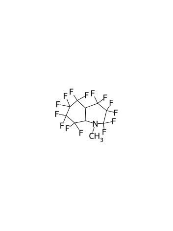 CN1C2C(C(F)(F)C(F)(F)C1(F)F)C(F)(F)C(F)(F)C(F)(F)C2(F)F